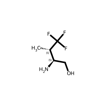 C[C@@H]([C@H](N)CO)C(F)(F)F